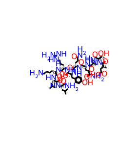 CC(C)C[C@H](NC(=O)[C@H](CC(C)C)NC(=O)[C@H](CCCCN)NC(=O)[C@H](CCCNC(=N)N)NC(=O)[C@H](Cc1ccc(O)cc1)NC(=O)[C@H](CCC(N)=O)NC(=O)[C@H](CCC(N)=O)NC(=O)[C@H](C)NC(=O)[C@@H](NC(=O)[C@@H](C)CC(=O)O)[C@@H](C)O)C(N)=O